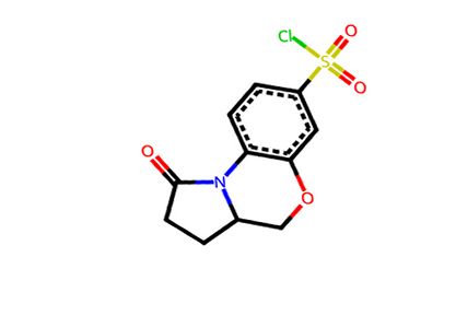 O=C1CCC2COc3cc(S(=O)(=O)Cl)ccc3N12